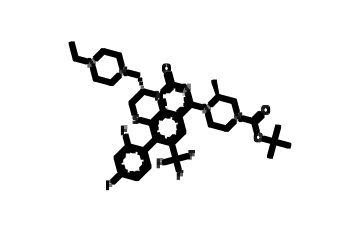 CCN1CCN(C[C@H]2CSc3c(-c4ccc(F)cc4F)c(C(F)(F)F)cc4c(N5CCN(C(=O)OC(C)(C)C)C[C@@H]5C)nc(=O)n2c34)CC1